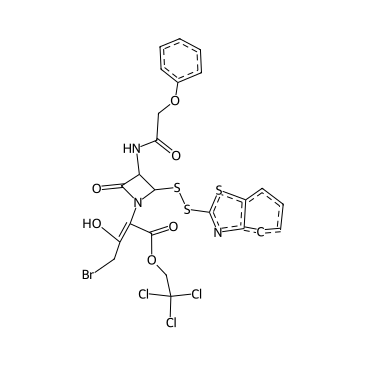 O=C(COc1ccccc1)NC1C(=O)N(C(C(=O)OCC(Cl)(Cl)Cl)=C(O)CBr)C1SSc1nc2ccccc2s1